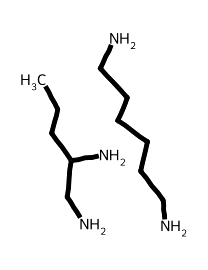 CCCC(N)CN.NCCCCCCN